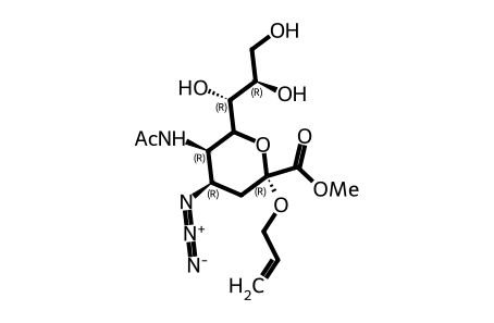 C=CCO[C@]1(C(=O)OC)C[C@@H](N=[N+]=[N-])[C@@H](NC(C)=O)C([C@H](O)[C@H](O)CO)O1